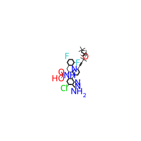 Cn1nc(N)c2c(Cl)ccc(-c3ccc(C#CC(C)(C)O[Si](C)(C)C(C)(C)C)nc3C(Cc3cc(F)cc(F)c3)NC(=O)O)c21